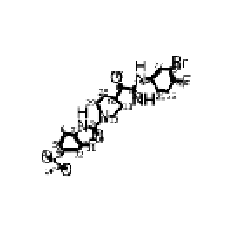 CS(=O)(=O)c1ccc(NC(=O)N2CCC(C(=O)C(=N)Nc3ccc(F)c(Br)c3)CC2)c(F)c1